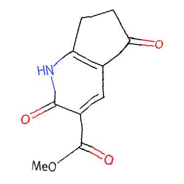 COC(=O)c1cc2c([nH]c1=O)CCC2=O